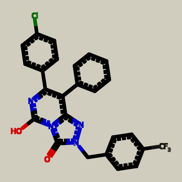 O=c1n(Cc2ccc(C(F)(F)F)cc2)nc2c(-c3ccccc3)c(-c3ccc(Cl)cc3)nc(O)n12